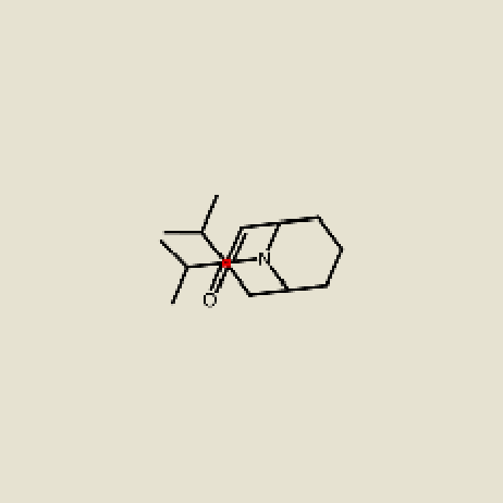 CC(C)C(=O)N1C2C=C(C(C)C)CC1CCC2